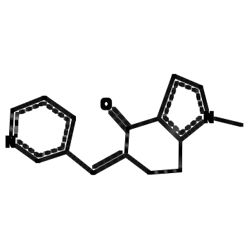 Cn1ccc2c1CC/C(=C/c1cccnc1)C2=O